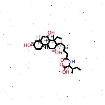 CCC(C)[C@H](NC(=O)CC[C@@H](C)[C@H]1CC[C@H]2[C@@H]3[C@H](O)C[C@@H]4C[C@H](O)CC[C@]4(C)[C@H]3C[C@H](O)[C@]12C)C(=O)O